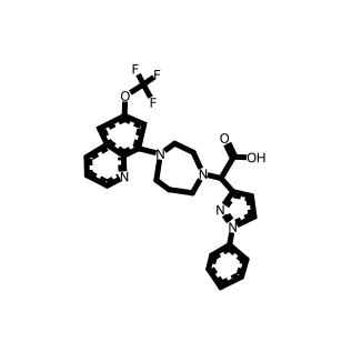 O=C(O)C(c1ccn(-c2ccccc2)n1)N1CCCN(c2cc(OC(F)(F)F)cc3cccnc23)CC1